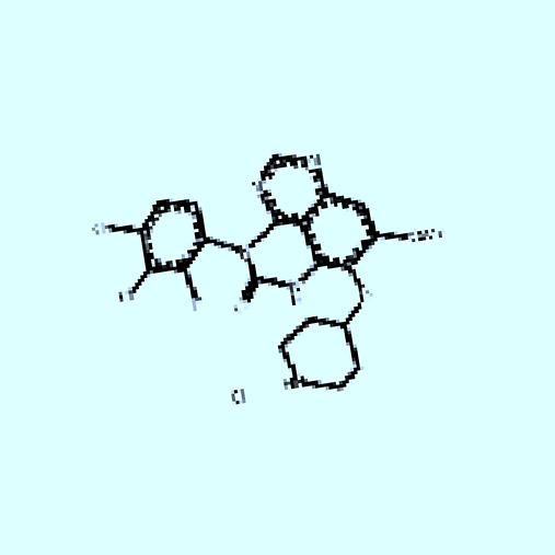 COc1cc2ncnc3c2c(c1OC1CCNCC1)NC(=O)N3c1ccc(Cl)c(Cl)c1F.Cl